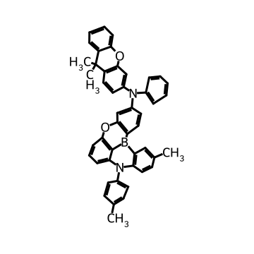 Cc1ccc(N2c3ccc(C)cc3B3c4ccc(N(c5ccccc5)c5ccc6c(c5)Oc5ccccc5C6(C)C)cc4Oc4cccc2c43)cc1